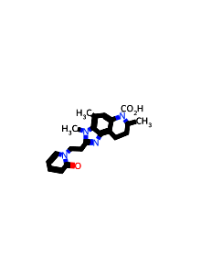 Cc1cc2c(c3nc(CCn4ccccc4=O)n(C)c13)CCC(C)N2C(=O)O